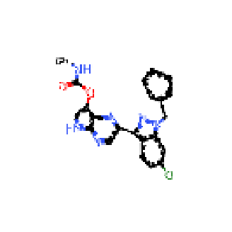 CC(C)NC(=O)Oc1c[nH]c2ncc(-c3nn(Cc4ccccc4)c4cc(Cl)ccc34)nc12